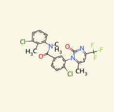 Cc1c(Cl)cccc1N(C)C(=O)c1ccc(Cl)c(-n2c(C)cc(C(F)(F)F)nc2=O)c1